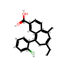 CCC1=CC(C)=c2ccc(C(=O)O)cc2=C(c2ccccc2Cl)C1